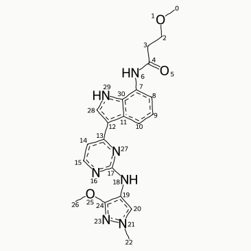 COCCC(=O)Nc1cccc2c(-c3ccnc(Nc4cn(C)nc4OC)n3)c[nH]c12